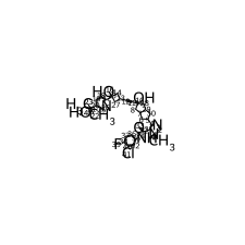 Cn1cnc(C2CC3CC(O)(C#CC4CC(O)(c5ccc(C(C)(C)O)cn5)C4)CC3C2)c1C(=O)Nc1ccc(F)c(Cl)c1